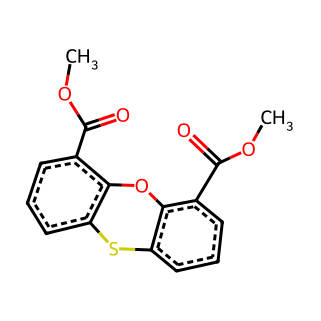 COC(=O)c1cccc2c1Oc1c(cccc1C(=O)OC)S2